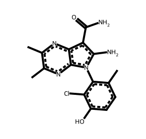 Cc1ccc(O)c(Cl)c1-n1c(N)c(C(N)=O)c2nc(C)c(C)nc21